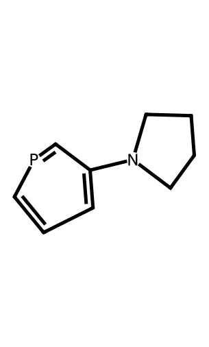 c1cpcc(N2CCCC2)c1